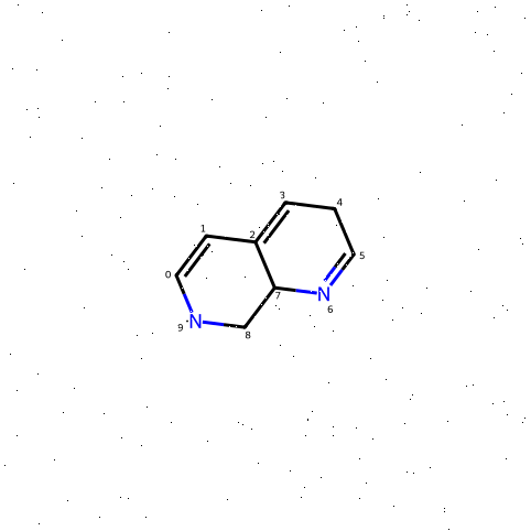 C1=CC2=CCC=NC2C[N]1